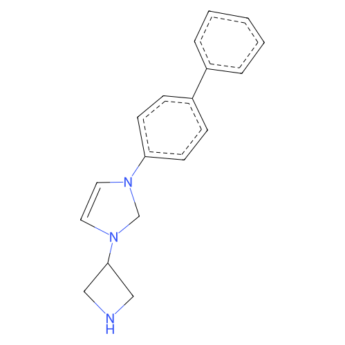 C1=CN(C2CNC2)CN1c1ccc(-c2ccccc2)cc1